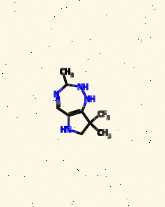 CC1N=CC2=C(NN1)C(C)(C(F)(F)F)CN2